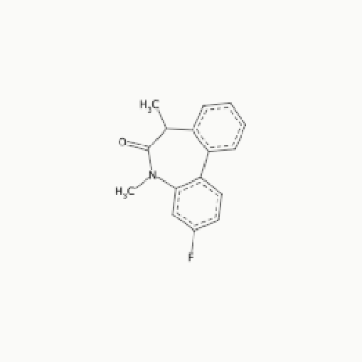 CC1C(=O)N(C)c2cc(F)ccc2-c2ccccc21